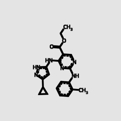 CCOC(=O)c1cnc(Nc2ccccc2C)nc1Nc1cc(C2CC2)n[nH]1